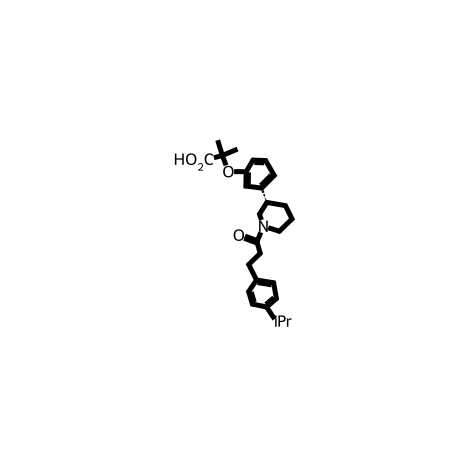 CC(C)c1ccc(CCC(=O)N2CCC[C@@H](c3cccc(OC(C)(C)C(=O)O)c3)C2)cc1